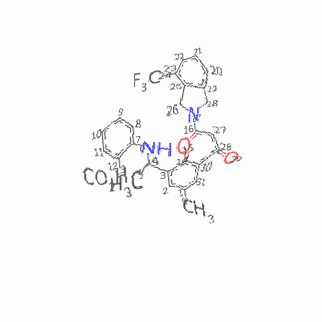 Cc1cc(C(C)Nc2ccccc2C(=O)O)c2oc(N3Cc4cccc(C(F)(F)F)c4C3)cc(=O)c2c1